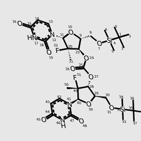 CC(C)(C)[Si](C)(C)OC[C@H]1O[C@@H](n2ccc(=O)[nH]c2=O)[C@](C)(F)[C@@H]1OC(=O)O[C@@H]1[C@@H](CO[Si](C)(C)C(C)(C)C)O[C@@H](n2ccc(=O)[nH]c2=O)[C@]1(C)F